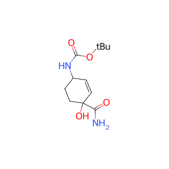 CC(C)(C)OC(=O)NC1C=CC(O)(C(N)=O)CC1